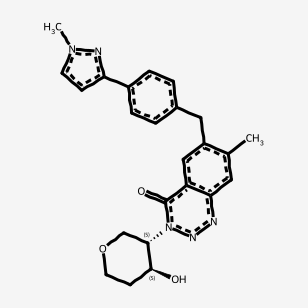 Cc1cc2nnn([C@H]3COCC[C@@H]3O)c(=O)c2cc1Cc1ccc(-c2ccn(C)n2)cc1